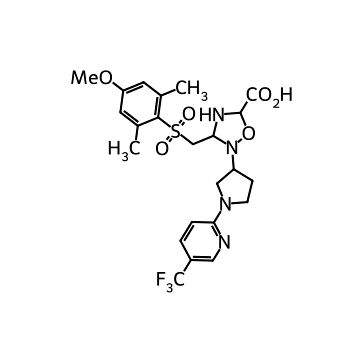 COc1cc(C)c(S(=O)(=O)CC2NC(C(=O)O)ON2C2CCN(c3ccc(C(F)(F)F)cn3)C2)c(C)c1